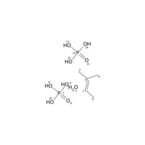 CC=C(C)C.O.O=P(O)(O)O.O=P(O)(O)O